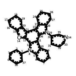 c1ccc(-n2c3ccccc3c3c2c2oc4ccccc4c2c2c4ccccc4n(-c4cccnc4)c23)cc1